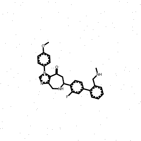 CNCc1ccccc1-c1ccc(C2CC(=O)c3c(ncn3-c3ccc(OC)cc3)CN2)c(F)c1